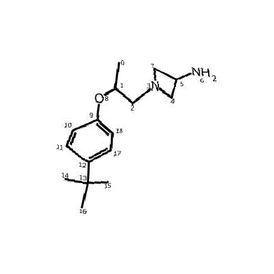 CC(CN1CC(N)C1)Oc1ccc(C(C)(C)C)cc1